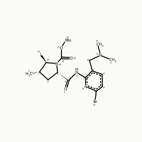 C[C@H]1C[C@@H](C(=O)Nc2nc(Br)ccc2CN(C)C)N(C(=O)OC(C)(C)C)[C@@H]1I